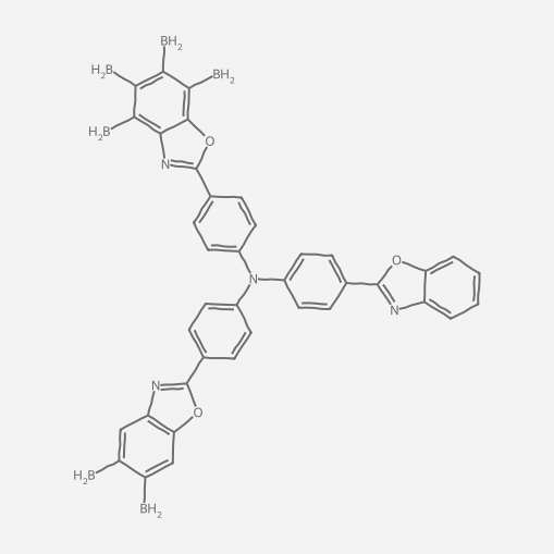 Bc1cc2nc(-c3ccc(N(c4ccc(-c5nc6ccccc6o5)cc4)c4ccc(-c5nc6c(B)c(B)c(B)c(B)c6o5)cc4)cc3)oc2cc1B